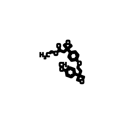 CCOC(=O)CC1(c2ccc(OCCC3(c4ccc(OC)cc4)COC3)cc2)COC1